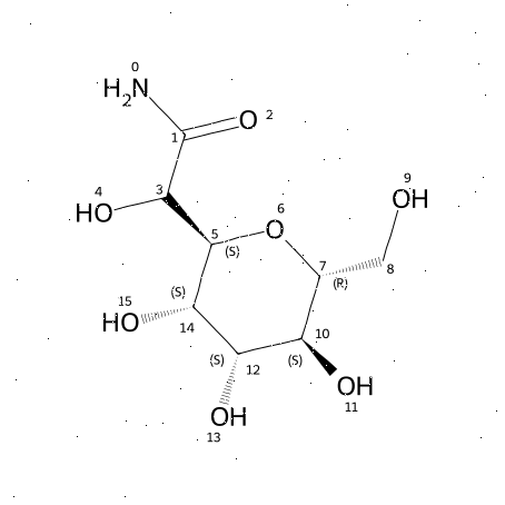 NC(=O)C(O)[C@H]1O[C@H](CO)[C@@H](O)[C@H](O)[C@@H]1O